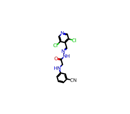 N#Cc1cccc(NCC(=O)N/N=C/c2c(Cl)cncc2Cl)c1